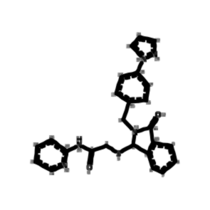 O=C(CSC1c2ccccc2C(=O)N1Cc1ccc(-n2cccn2)cc1)Nc1ccccn1